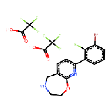 Fc1c(Br)cccc1-c1ccc2c(n1)OCCNC2.O=C(O)C(F)(F)F.O=C(O)C(F)(F)F